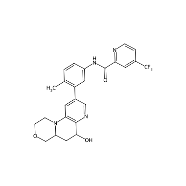 Cc1ccc(NC(=O)c2cc(C(F)(F)F)ccn2)cc1-c1cnc2c(c1)N1CCOCC1CC2O